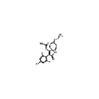 Cc1cc(Cl)cc(C)c1C1=C(OC(=O)C(C)(C)C)C2(CCC(OCC(F)(F)F)CC2)NC1=O